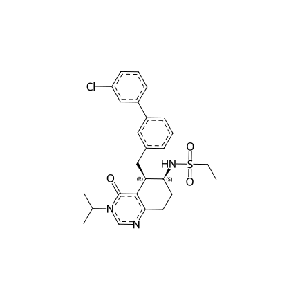 CCS(=O)(=O)N[C@H]1CCc2ncn(C(C)C)c(=O)c2[C@H]1Cc1cccc(-c2cccc(Cl)c2)c1